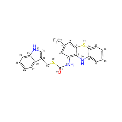 O=C(Nc1cc(C(F)(F)F)cc2c1Nc1ccccc1S2)SCc1c[nH]c2ccccc12